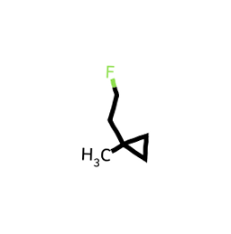 CC1(CCF)CC1